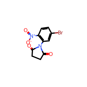 O=C1CCC(=O)N1c1cc(Br)ccc1[N+](=O)[O-]